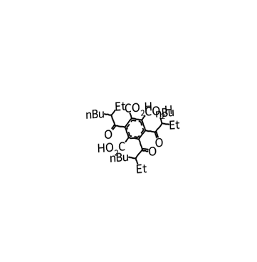 CCCCC(CC)C(=O)c1c(C(=O)O)c(C(=O)O)c(C(=O)C(CC)CCCC)c(C(=O)C(CC)CCCC)c1C(=O)O